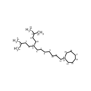 CC(C)CCN(CCCCCCCN1CCCCCC1)CCC(C)C